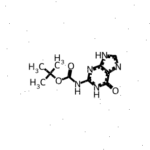 CC(C)(C)OC(=O)Nc1nc2[nH]cnc2c(=O)[nH]1